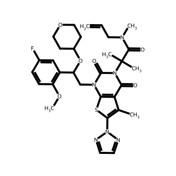 C=CCN(C)C(=O)C(C)(C)n1c(=O)c2c(C)c(-n3nccn3)sc2n(CC(OC2CCOCC2)c2cc(F)ccc2OC)c1=O